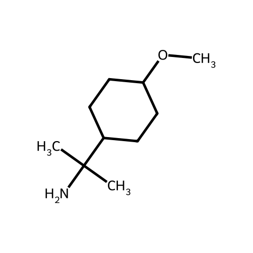 COC1CCC(C(C)(C)N)CC1